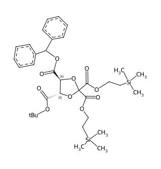 CC(C)(C)OC(=O)[C@H]1OC(C(=O)OCC[Si](C)(C)C)(C(=O)OCC[Si](C)(C)C)O[C@@H]1C(=O)OC(c1ccccc1)c1ccccc1